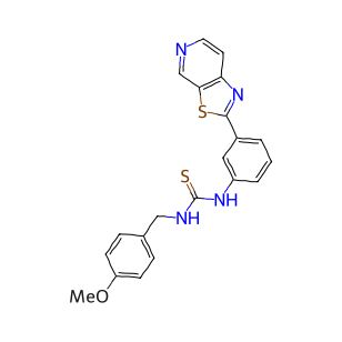 COc1ccc(CNC(=S)Nc2cccc(-c3nc4ccncc4s3)c2)cc1